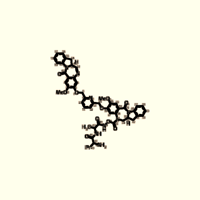 COc1cc2c(cc1OCc1cccc(COc3cc4c(cc3OC)C(=O)N3c5ccccc5C[C@H]3CN4C(=O)ONC(=O)C(C)NC(=O)C(N)C(C)C)n1)N=C[C@@H]1Cc3ccccc3N1C2=O